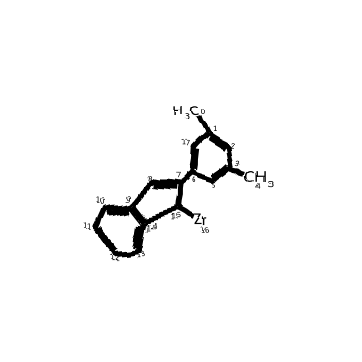 Cc1cc(C)cc(C2=Cc3ccccc3[CH]2[Zr])c1